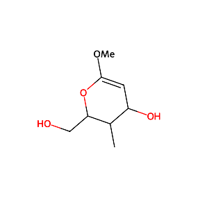 COC1=CC(O)C(C)C(CO)O1